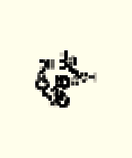 O=C(O)C=CC(=O)O.OCCN1CCC(Cc2nc3cccnc3n2Cc2ccccn2)CC1